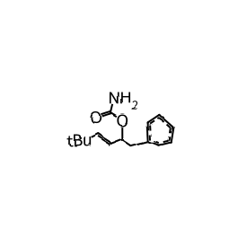 CC(C)(C)C=CC(Cc1ccccc1)OC(N)=O